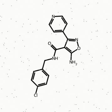 Nc1onc(-c2ccncc2)c1C(=O)NCc1ccc(Cl)cc1